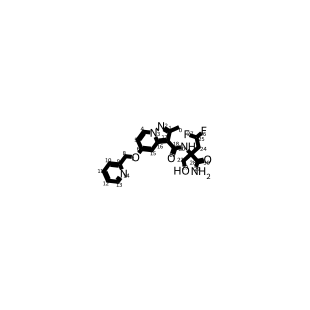 Cc1nn2ccc(OCc3ccccn3)cc2c1C(=O)NC(CO)(CC(F)F)C(N)=O